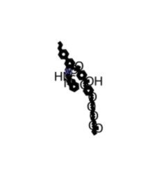 C=CC(=O)OCCOCCOCCOc1ccc(OC(O)C2CCC(C(=O)Oc3ccc(C4CCC(CCC)CC4)cc3/C=N/Nc3nc4ccccc4s3)CC2)cc1